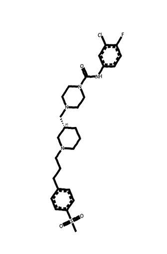 CS(=O)(=O)c1ccc(CCCN2CCC[C@@H](CN3CCN(C(=O)Nc4ccc(F)c(Cl)c4)CC3)C2)cc1